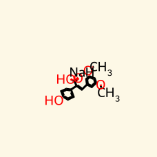 COc1cc(C=C(C(=O)O)c2ccc(O)cc2)cc(OC)c1.[NaH]